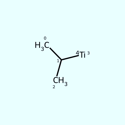 C[CH](C)[4Ti]